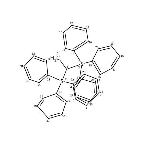 CC(S(c1ccccc1)(c1ccccc1)c1ccccc1)S(c1ccccc1)(c1ccccc1)c1ccccc1